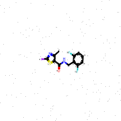 Cc1nc(I)sc1C(=O)NCc1c(F)cccc1F